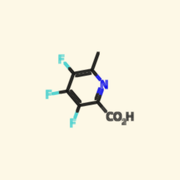 Cc1nc(C(=O)O)c(F)c(F)c1F